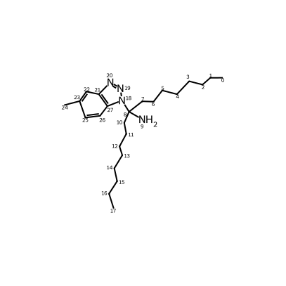 CCCCCCCCC(N)(CCCCCCCC)n1nnc2cc(C)ccc21